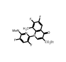 CCOC(=O)c1cn(-c2nc(NC)c(F)cc2F)c2c(C)c(F)c(F)cc2c1=O